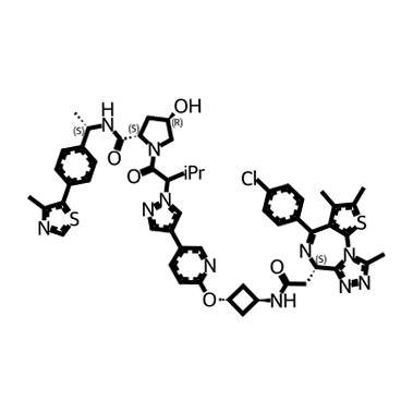 Cc1ncsc1-c1ccc([C@H](C)NC(=O)[C@@H]2C[C@@H](O)CN2C(=O)C(C(C)C)n2cc(-c3ccc(O[C@H]4C[C@H](NC(=O)C[C@@H]5N=C(c6ccc(Cl)cc6)c6c(sc(C)c6C)-n6c(C)nnc65)C4)nc3)cn2)cc1